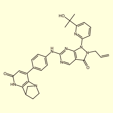 C=CCn1c(=O)c2cnc(Nc3ccc(-c4cc(=O)[nH]c5c4N4CCC5C4)cc3)nc2n1-c1cccc(C(C)(C)O)n1